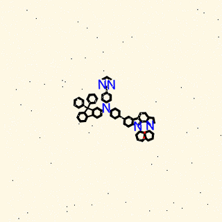 c1ccc(-n2ccc3ccc4c5cc(-c6ccc(N(c7ccc(-c8ncccn8)cc7)c7ccc8c(c7)C(c7ccccc7)(c7ccccc7)c7ccccc7-8)cc6)ccc5n(-c5ccccc5)c4c32)cc1